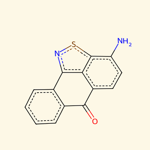 Nc1ccc2c3c(nsc13)-c1ccccc1C2=O